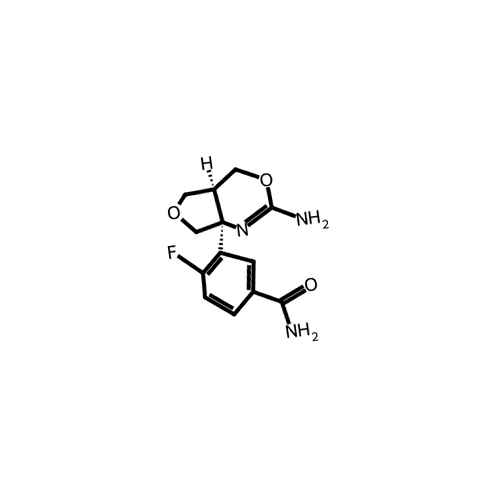 NC(=O)c1ccc(F)c([C@]23COC[C@H]2COC(N)=N3)c1